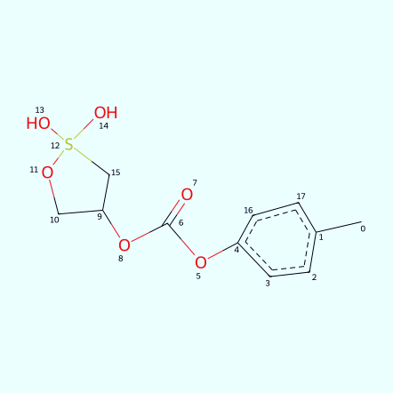 Cc1ccc(OC(=O)OC2COS(O)(O)C2)cc1